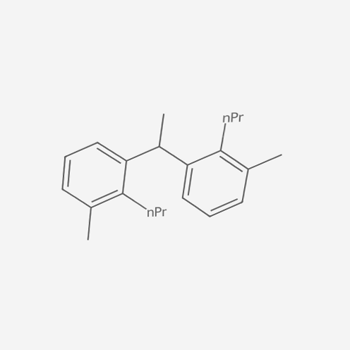 CCCc1c(C)cccc1C(C)c1cccc(C)c1CCC